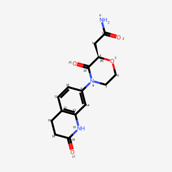 NC(=O)C[C@H]1OCCN(c2ccc3c(c2)NC(=O)CC3)C1=O